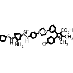 Cc1c(C(=O)O)c(-c2cccc(N3CCN(C4=CC=C(N[S+]([O-])c5ccc(NSc6ccccc6)c(N)c5)CC4)CC3)c2)c(-c2ccc(Cl)cc2)n1C